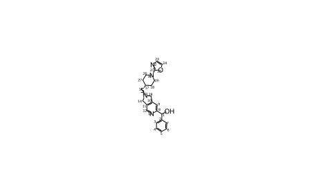 OC(c1ccccc1)c1cc2c(cn1)CN(SC1CCN(c3ncco3)CC1)C2